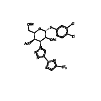 CC(=O)OCC1O[C@H](Sc2ccc(Cl)c(Cl)c2)C(OC(C)=O)C(n2cc(-c3nc(C(F)(F)F)cs3)nn2)[C@H]1OC(C)=O